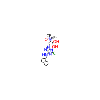 CCCN(C(=O)C(F)(F)F)C1C[C@@H](n2cnc3c(NCc4cccc5ccccc45)nc(Cl)nc32)[C@H](O)[C@@H]1O